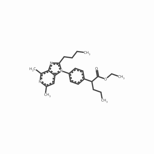 CCCCc1nc2c(C)nc(C)cc2n1-c1ccc(C(CCC)C(=O)OCC)cc1